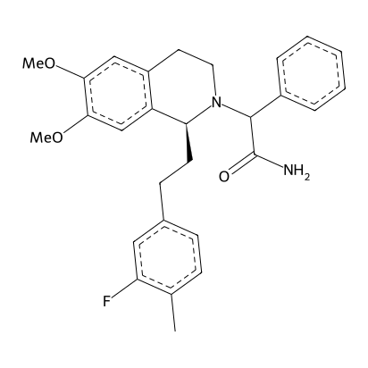 COc1cc2c(cc1OC)[C@H](CCc1ccc(C)c(F)c1)N(C(C(N)=O)c1ccccc1)CC2